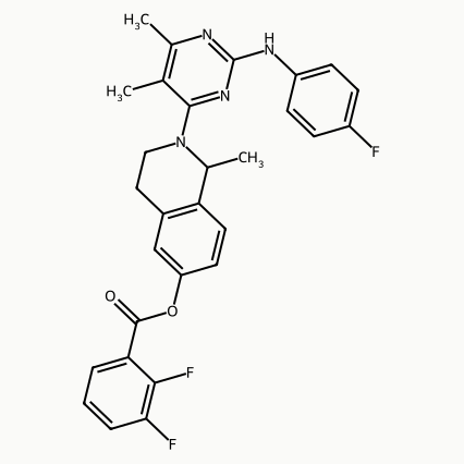 Cc1nc(Nc2ccc(F)cc2)nc(N2CCc3cc(OC(=O)c4cccc(F)c4F)ccc3C2C)c1C